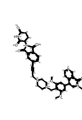 COc1cc(-c2cn(C)c(=O)c3cnccc23)cc(OC)c1CN1CCN(CC#Cc2ccc3c(c2)C(=O)N(C2CCC(=O)NC2=O)C3=O)CC1